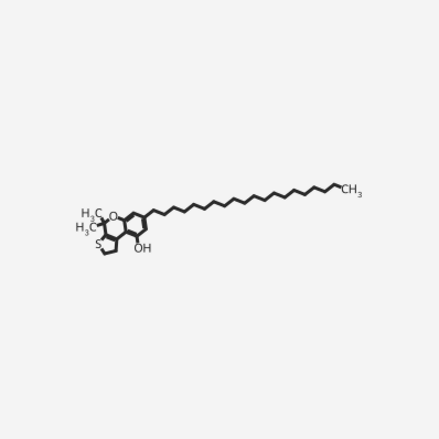 CCCCCCCCCCCCCCCCCCCCc1cc(O)c2c(c1)OC(C)(C)C1=C2CCS1